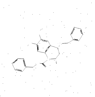 COc1cc2c(cc1OC)N(C(=O)OCc1ccccc1)[C@H](C)C[C@@H]2NCc1ccccc1